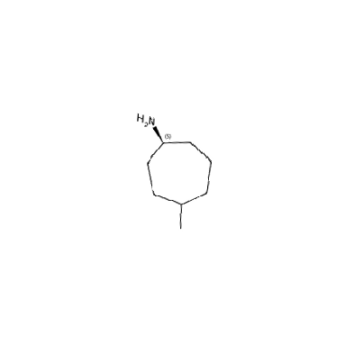 CC1CCC[C@H](N)CC1